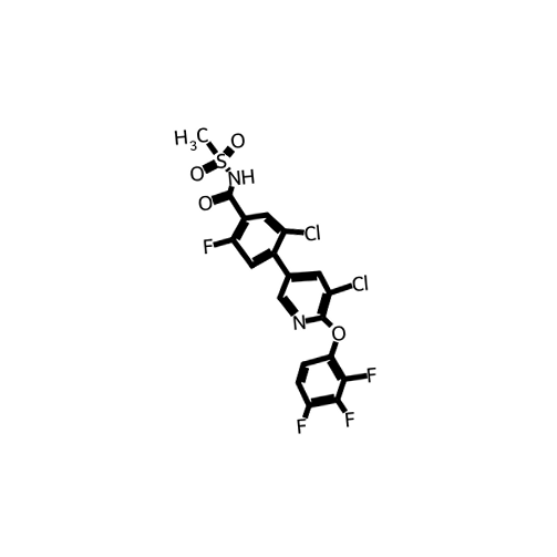 CS(=O)(=O)NC(=O)c1cc(Cl)c(-c2cnc(Oc3ccc(F)c(F)c3F)c(Cl)c2)cc1F